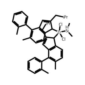 Cc1ccccc1-c1c(C)ccc2c1C=C(CC(C)C)[CH]2[Zr]([Cl])([Cl])([CH]1C(CC(C)C)=Cc2c1ccc(C)c2-c1ccccc1C)[SiH](C)C